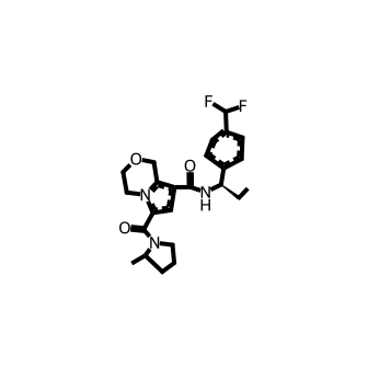 CC[C@@H](NC(=O)c1cc(C(=O)N2CCCC2C)n2c1COCC2)c1ccc(C(F)F)cc1